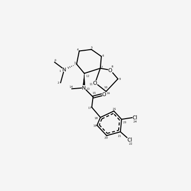 CN(C)[C@@H]1CCCC2(OCCO2)[C@H]1N(C)C(=O)Cc1ccc(Cl)c(Cl)c1